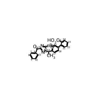 CCCCc1nc(C(=O)c2ccccc2)nn1C(C)c1ccc(-c2ccccc2C(=O)O)cn1